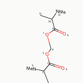 CNC(C)C(=O)OCOC(=O)C(C)NC